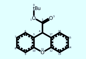 CC(C)(C)OC(=O)C1c2ccccc2Oc2ccccc21